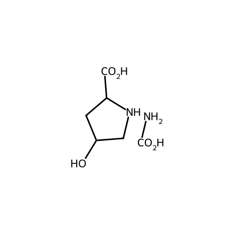 NC(=O)O.O=C(O)C1CC(O)CN1